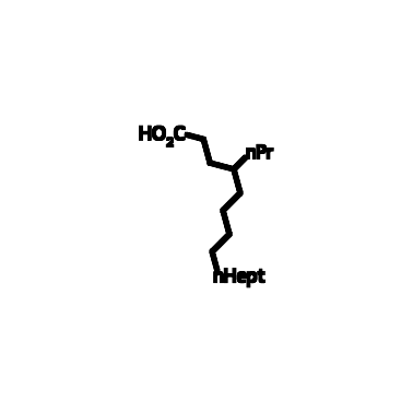 CCCCCCCCCCCC(CCC)CCC(=O)O